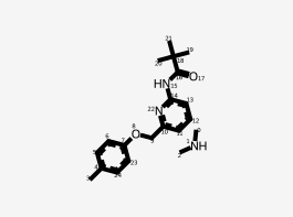 CNC.Cc1ccc(OCc2cccc(NC(=O)C(C)(C)C)n2)cc1